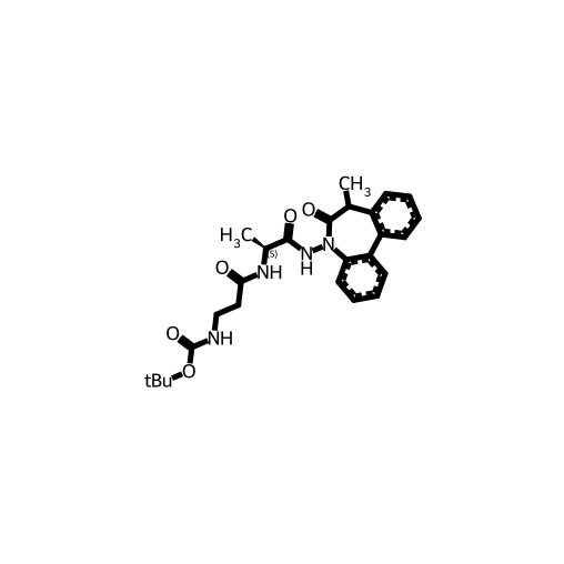 CC1C(=O)N(NC(=O)[C@H](C)NC(=O)CCNC(=O)OC(C)(C)C)c2ccccc2-c2ccccc21